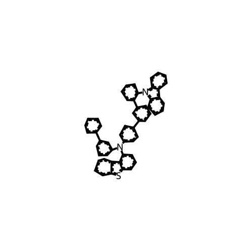 c1ccc(-c2cccc(N(c3ccc(-c4cccc(-c5ccccc5-n5c6ccccc6c6ccccc65)c4)cc3)c3cccc4sc5ccccc5c34)c2)cc1